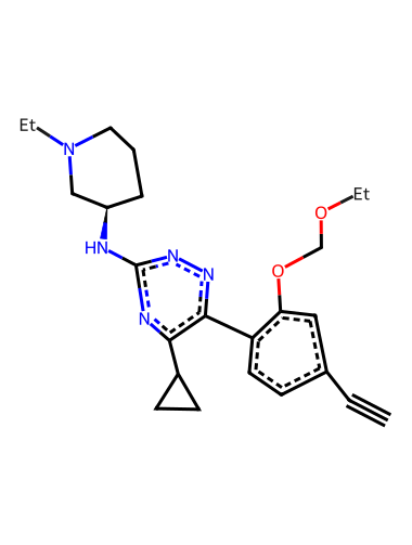 C#Cc1ccc(-c2nnc(N[C@@H]3CCCN(CC)C3)nc2C2CC2)c(OCOCC)c1